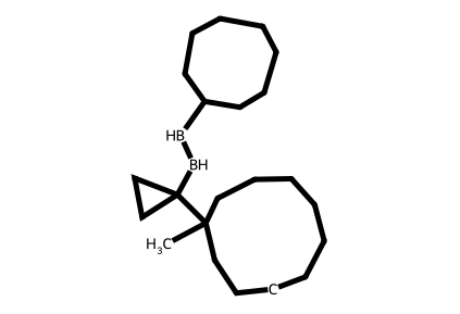 CC1(C2(BBC3CCCCCCC3)CC2)CCCCCCCCC1